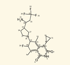 CC1=c2c(=O)[nH]c(=O)n(C3CC3)c2=C(C)C(N2CCC(C(N)CC(F)(F)F)C2)C1F